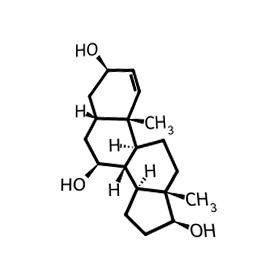 C[C@]12C=C[C@H](O)C[C@H]1C[C@H](O)[C@@H]1[C@@H]2CC[C@]2(C)[C@@H](O)CC[C@@H]12